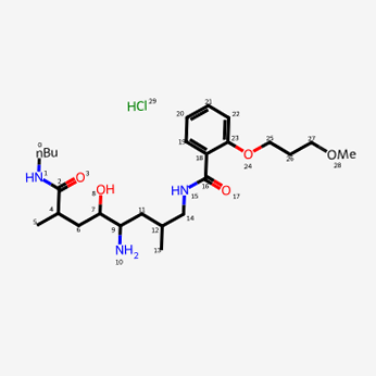 CCCCNC(=O)C(C)CC(O)C(N)CC(C)CNC(=O)c1ccccc1OCCCOC.Cl